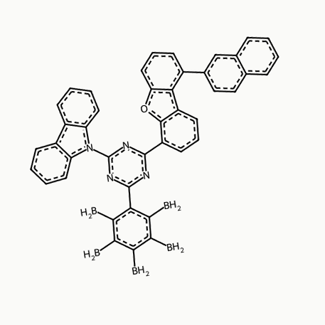 Bc1c(B)c(B)c(-c2nc(-c3cccc4c3oc3cccc(-c5ccc6ccccc6c5)c34)nc(-n3c4ccccc4c4ccccc43)n2)c(B)c1B